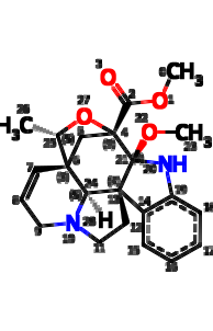 COC(=O)[C@]12C[C@@]3(C=CCN4CC[C@@]5(c6ccccc6N[C@@]15OC)[C@@H]43)[C@H](C)O2